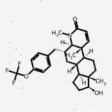 CN1C(=O)C=C[C@]2(C)[C@H]3CC[C@]4(C)[C@@H](O)CC[C@H]4[C@@H]3C[C@H](Cc3ccc(OC(F)(F)F)cc3)[C@@H]12